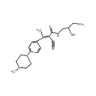 CCC(O)CNC(=O)/C(C#N)=C(\C)c1ccc(N2CCN(C)CC2)cc1